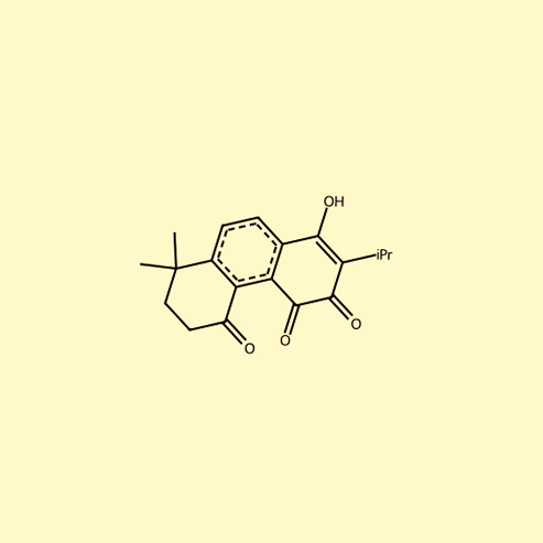 CC(C)C1=C(O)c2ccc3c(c2C(=O)C1=O)C(=O)CCC3(C)C